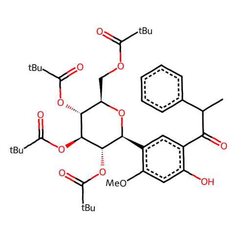 COc1cc(O)c(C(=O)C(C)c2ccccc2)cc1[C@@H]1O[C@H](COC(=O)C(C)(C)C)[C@@H](OC(=O)C(C)(C)C)[C@H](OC(=O)C(C)(C)C)[C@H]1OC(=O)C(C)(C)C